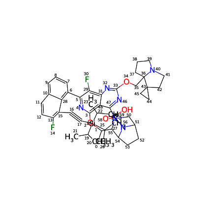 CC1Oc2nc(-c3cccc4ccc(F)c(C#C[Si](C(C)C)(C(C)C)C(C)C)c34)c(F)c3nc(OCC45CCCN4CCC54CC4)nc(c23)N2CC3CCC(C12)N3C(=O)O